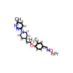 CCCON=Cc1ccc(OCCC2CCN(c3ccc(C)nn3)CC2)c(C)c1